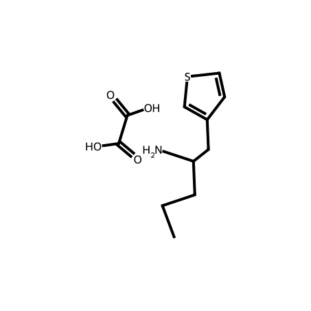 CCCC(N)Cc1ccsc1.O=C(O)C(=O)O